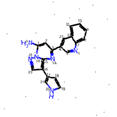 Nc1cc(-c2cnc3ccccc3c2)nc2c(-c3cc[nH]c3)cnn12